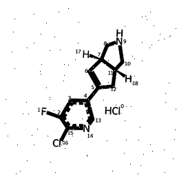 Cl.Fc1cc(C2=C[C@@H]3CNC[C@@H]3C2)cnc1Cl